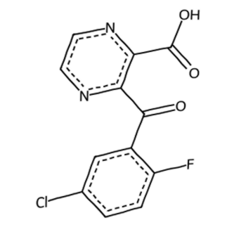 O=C(O)c1nccnc1C(=O)c1cc(Cl)ccc1F